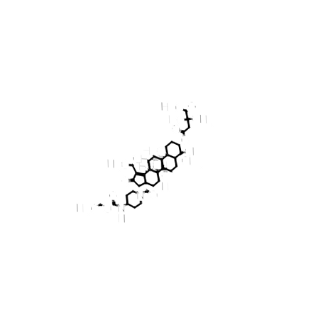 CCOC(=O)NC1CCN(C(=O)[C@@]23CC[C@]4(C)[C@H](CCC5C4(C)CCC4C(C)(C)[C@@H](OC(=O)CC(C)(C)C(C)=O)CC[C@@]45C)C2=C(C(C)C)C(=O)C3)CC1